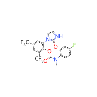 CN(C(=O)Oc1c(-n2cc[nH]c2=O)cc(C(F)(F)F)cc1C(F)(F)F)c1ccc(F)cc1